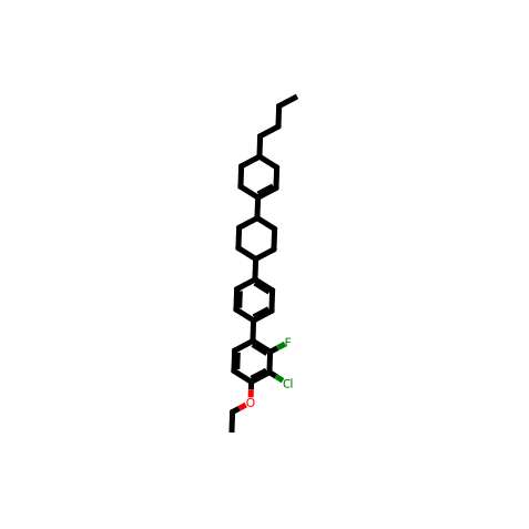 CCCCC1CC=C(C2CCC(c3ccc(-c4ccc(OCC)c(Cl)c4F)cc3)CC2)CC1